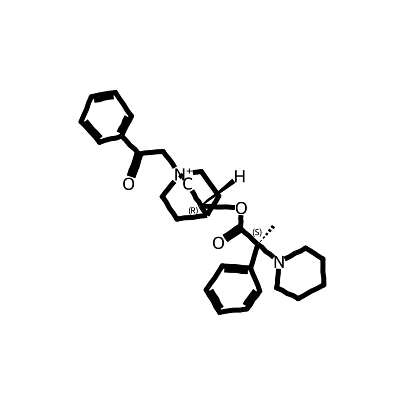 C[C@@](C(=O)O[C@H]1C[N+]2(CC(=O)c3ccccc3)CCC1CC2)(c1ccccc1)N1CCCCC1